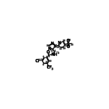 C[C@H](NC(=O)c1cc(Cl)cc(C(F)(F)F)c1)c1ncnn1-c1ccc(S(C)(=O)=O)cn1